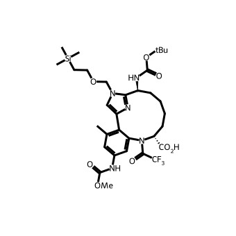 COC(=O)Nc1cc(C)c2c(c1)N(C(=O)C(F)(F)F)[C@@H](C(=O)O)CCCC[C@H](NC(=O)OC(C)(C)C)c1nc-2cn1COCC[Si](C)(C)C